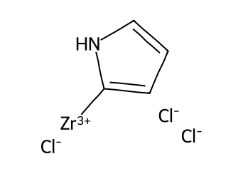 [Cl-].[Cl-].[Cl-].[Zr+3][c]1ccc[nH]1